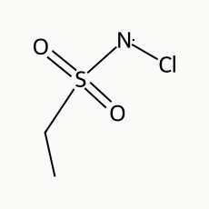 CCS(=O)(=O)[N]Cl